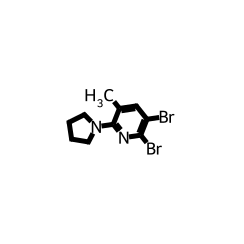 Cc1cc(Br)c(Br)nc1N1CCCC1